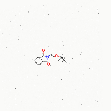 CC(C)(C)[Si](C)(C)OC=CN1C(=O)c2ccccc2C1=O